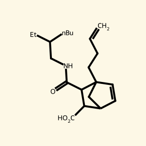 C=CCCC12C=CC(C1)C(C(=O)O)C2C(=O)NCC(CC)CCCC